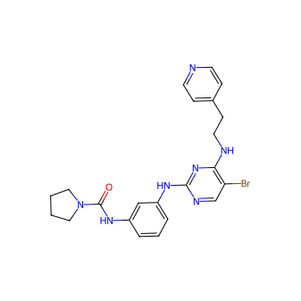 O=C(Nc1cccc(Nc2ncc(Br)c(NCCc3ccncc3)n2)c1)N1CCCC1